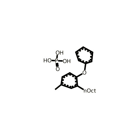 CCCCCCCCc1cc(C)ccc1Oc1ccccc1.O=P(O)(O)O